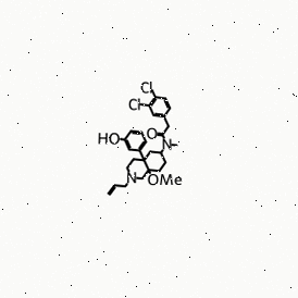 C=CCN1CCC2(c3cccc(O)c3)CC(N(C)C(=O)Cc3ccc(Cl)c(Cl)c3)CCC2(OC)C1